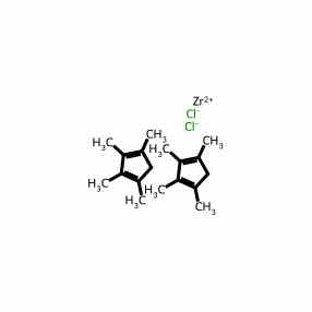 CC1=C(C)C(C)=C(C)C1.CC1=C(C)C(C)=C(C)C1.[Cl-].[Cl-].[Zr+2]